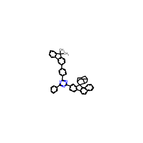 CC1(C)c2ccccc2-c2cc(-c3ccc(-c4nc(-c5ccccc5)nc(-c5ccc6c(c5)C5(c7c-6ccc6ccccc76)C6CC7CC(C6)CC5C7)n4)cc3)ccc21